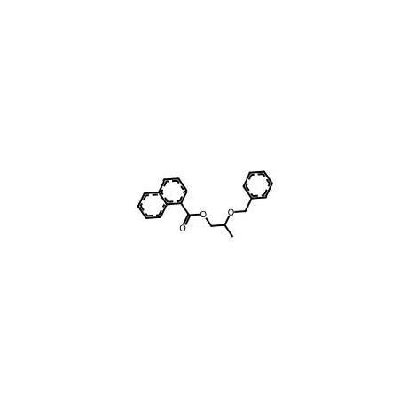 CC(COC(=O)c1cccc2ccccc12)OCc1ccccc1